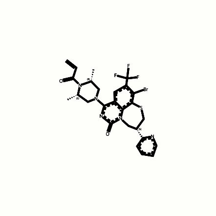 C=CC(=O)N1[C@H](C)CN(c2nc(=O)n3c4c(c(Br)c(C(F)(F)F)cc24)SC[C@H](c2ccccn2)C3)C[C@@H]1C